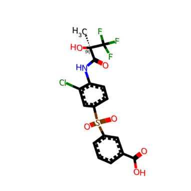 C[C@@](O)(C(=O)Nc1ccc(S(=O)(=O)c2cccc(C(=O)O)c2)cc1Cl)C(F)(F)F